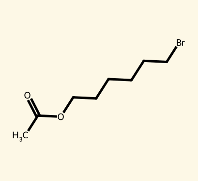 CC(=O)OCCCCCCBr